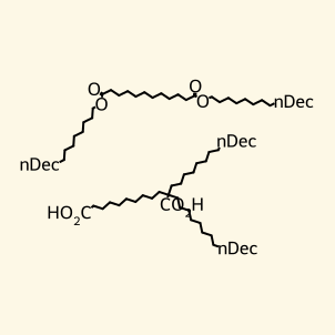 CCCCCCCCCCCCCCCCCCC(CCCCCCCCCCCCCCCCCC)(CCCCCCCCCC(=O)O)C(=O)O.CCCCCCCCCCCCCCCCCCOC(=O)CCCCCCCCCCC(=O)OCCCCCCCCCCCCCCCCCC